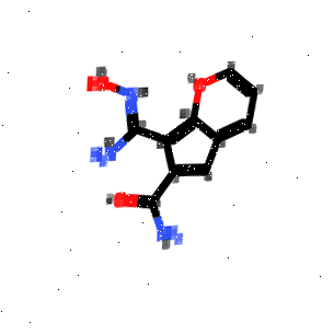 NC(=O)c1cc2cccoc-2c1C(N)=NO